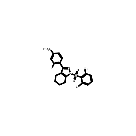 O=C(O)c1ccc(-c2nn(S(=O)(=O)c3c(Cl)cccc3C(F)(F)F)c3c2CCCC3)c(F)c1